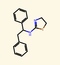 c1ccc(CC(NC2=NCCS2)c2ccccc2)cc1